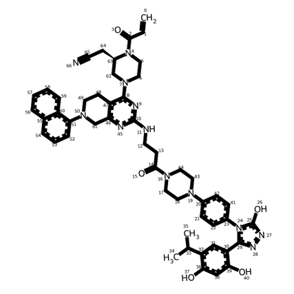 C=CC(=O)N1CCN(c2nc(NCCC(=O)N3CCN(c4ccc(-n5c(O)nnc5-c5cc(C(C)C)c(O)cc5O)cc4)CC3)nc3c2CCN(c2cccc4ccccc24)C3)C[C@H]1CC#N